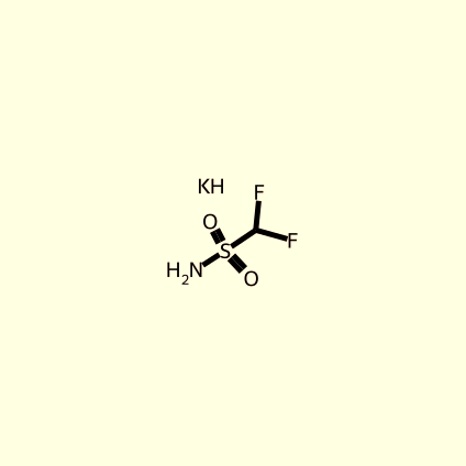 NS(=O)(=O)C(F)F.[KH]